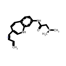 C=C/C=C\C1=CNc2cc(NC(=O)CN(C)C)ccc2C=C1